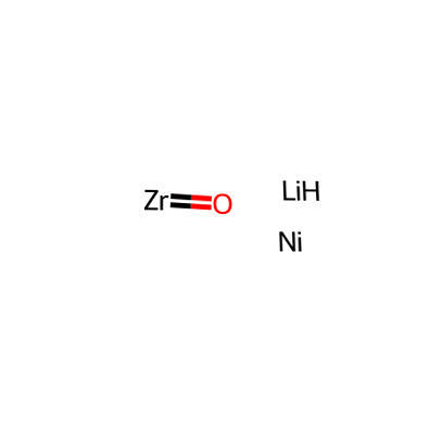 [LiH].[Ni].[O]=[Zr]